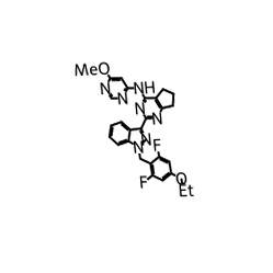 CCOc1cc(F)c(Cn2nc(-c3nc4c(c(Nc5cc(OC)ncn5)n3)CCC4)c3ccccc32)c(F)c1